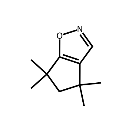 CC1(C)CC(C)(C)c2oncc21